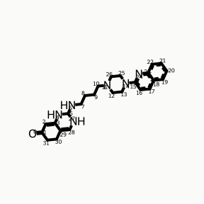 O=C1C=C2NC(NCCCCN3CCN(c4ccc5ccccc5n4)CC3)NC=C2CC1